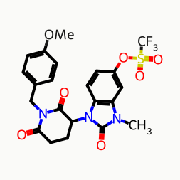 COc1ccc(CN2C(=O)CCC(n3c(=O)n(C)c4cc(OS(=O)(=O)C(F)(F)F)ccc43)C2=O)cc1